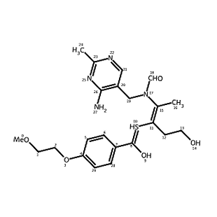 COCCOc1ccc(/C(O)=[SH]/C(CCO)=C(/C)N(C=O)Cc2cnc(C)nc2N)cc1